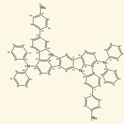 CC(C)(C)c1ccc(-c2ccc3c4c(N(c5ccccc5)c5ccccc5)ccc5c6cc7c(cc6n(c3c2)c54)c2ccc(N(c3ccccc3)c3ccccc3)c3c4ccc(-c5ccc(C(C)(C)C)cc5)cc4n7c23)cc1